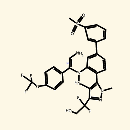 Cn1nc(C(F)(F)CO)c2c1-c1ccc(-c3cccc(S(C)(=O)=O)c3)cc1N(/C(=C\N)c1ccc(OC(F)(F)F)cc1)N2